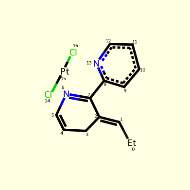 CCC=C1CC=CN=C1c1ccccn1.[Cl][Pt][Cl]